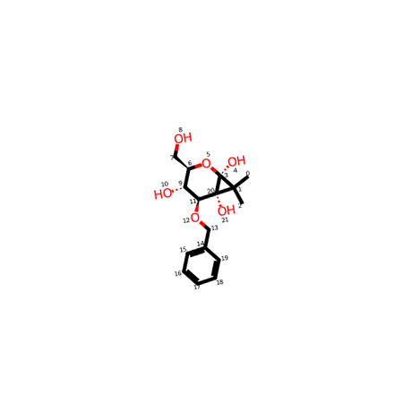 CC1(C)[C@]2(O)O[C@H](CO)[C@@H](O)[C@H](OCc3ccccc3)[C@]12O